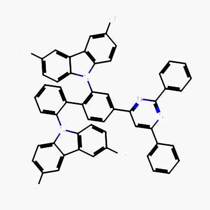 FC(F)(F)c1ccc2c(c1)c1cc(C(F)(F)F)ccc1n2-c1ccccc1-c1ccc(-c2cc(-c3ccccc3)nc(-c3ccccc3)n2)cc1-n1c2ccc(C(F)(F)F)cc2c2cc(C(F)(F)F)ccc21